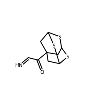 N=CC(=O)C12CC3SC(C1)SC(C2)S3